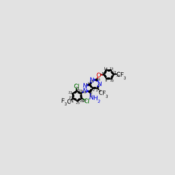 Nc1c2c(C(F)(F)F)nc(Oc3ccc(C(F)(F)F)cc3)nc2nn1-c1c(Cl)cc(C(F)(F)F)cc1Cl